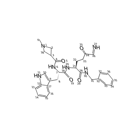 CN1CC(C(=O)N[C@@H](Cc2c[nH]c3ccccc23)C(=O)N[C@@H](CCC(=O)C=N)C(=O)NCc2ccccc2)C1